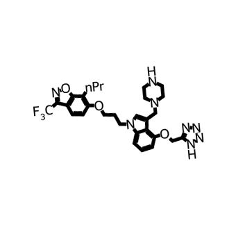 CCCc1c(OCCCn2cc(CN3CCNCC3)c3c(OCc4nnn[nH]4)cccc32)ccc2c(C(F)(F)F)noc12